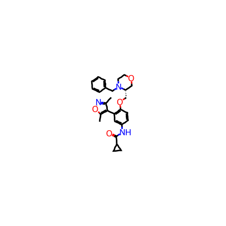 Cc1noc(C)c1-c1cc(NC(=O)C2CC2)ccc1OC[C@H]1COCCN1Cc1ccccc1